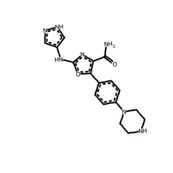 NC(=O)c1nc(Nc2cn[nH]c2)oc1-c1ccc(N2CCNCC2)cc1